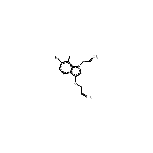 C=CCOc1nn(CC=C)c2c(F)c(Br)ccc12